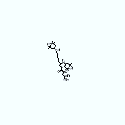 CCCCC(CC)CC(=O)C(=O)CCC(CCCCCNC1CC(C)(C)NC(C)(C)C1)NC1CC(C)(C)NC(C)(C)C1